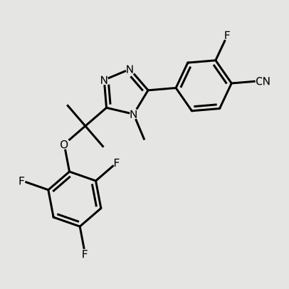 Cn1c(-c2ccc(C#N)c(F)c2)nnc1C(C)(C)Oc1c(F)cc(F)cc1F